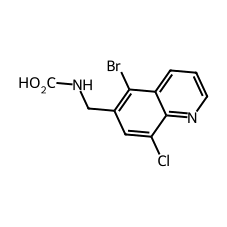 O=C(O)NCc1cc(Cl)c2ncccc2c1Br